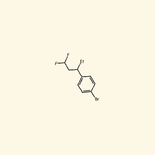 CCC(CC(F)F)c1ccc(Br)cc1